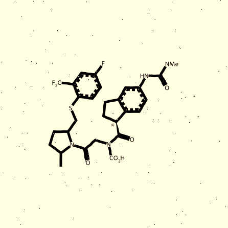 CNC(=O)Nc1ccc2c(c1)CC[C@@H]2C(=O)N(CC(=O)N1C(C)CCC1CSc1ccc(F)cc1C(F)(F)F)C(=O)O